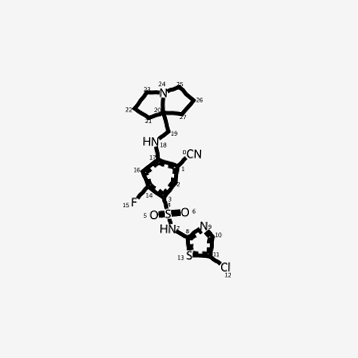 N#Cc1cc(S(=O)(=O)Nc2ncc(Cl)s2)c(F)cc1NCC12CCCN1CCC2